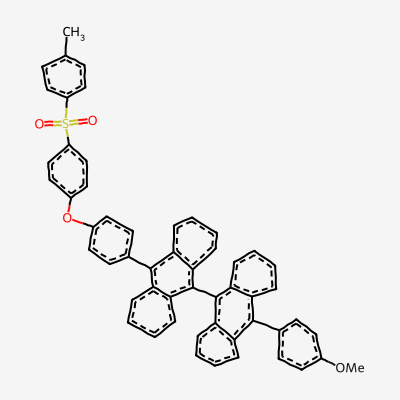 COc1ccc(-c2c3ccccc3c(-c3c4ccccc4c(-c4ccc(Oc5ccc(S(=O)(=O)c6ccc(C)cc6)cc5)cc4)c4ccccc34)c3ccccc23)cc1